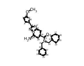 COc1ccc(-c2nc3cc(C(=O)N(Cc4ccccc4)Cc4ccccc4)cc(N)n3n2)s1